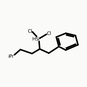 CC(C)CCC(Cc1ccccc1)[SiH](Cl)Cl